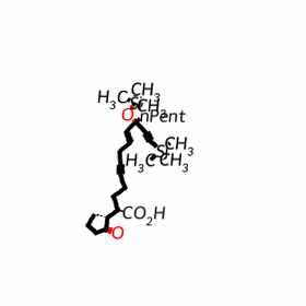 CCCCCC(C#C[Si](C)(C)C)(/C=C/CC#CCC[C@H](C(=O)O)[C@H]1CCCC1=O)O[Si](C)(C)C